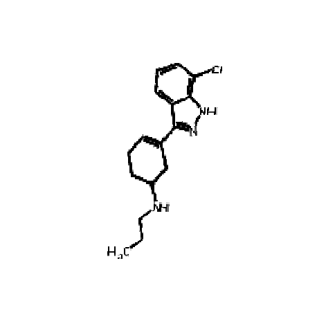 CCCNC1CCC=C(c2n[nH]c3c(Cl)cccc23)C1